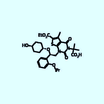 CCOC(=O)c1sc2c(c1C)c(=O)n(C(C)(C)C(=O)O)c(=O)n2C[C@H](O[C@H]1CC[C@H](O)CC1)c1ccccc1OC(C)C